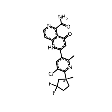 Cc1nc([C@]2(C)CCC(F)(F)C2)c(Cl)cc1-c1cc(=O)c2c(C(N)=O)nccc2[nH]1